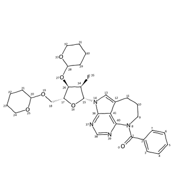 O=C(c1ccccc1)N1CCCc2cn([C@@H]3O[C@H](COC4CCCCO4)[C@@H](OC4CCCCO4)[C@H]3F)c3ncnc1c23